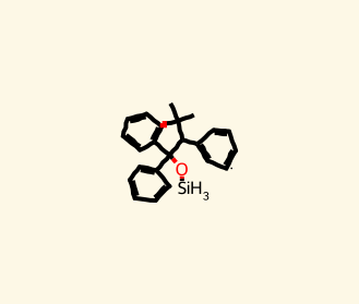 CC(C)(C)C(c1c[c]ccc1)C(O[SiH3])(c1ccccc1)c1ccccc1